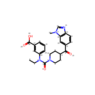 CCN(C(=O)N1CCC(C(=O)c2ccc3ncn(C)c3c2)CC1)c1cccc(C(=O)O)c1